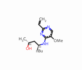 C=Cc1ncc(OC)c(N[C@@H](CCCC)C[C@@H](C)O)n1